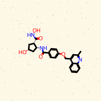 Cc1cc(COc2ccc(C(=O)N[C@@H]3C[C@H](O)C[C@@H]3C(=O)NO)cc2)c2ccccc2n1